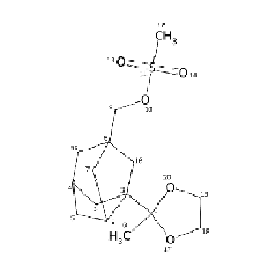 CC1(C23CC4CC2CC(COS(C)(=O)=O)(C4)C3)OCCO1